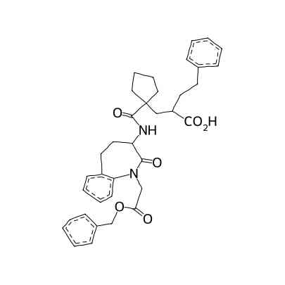 O=C(CN1C(=O)C(NC(=O)C2(CC(CCc3ccccc3)C(=O)O)CCCC2)CCc2ccccc21)OCc1ccccc1